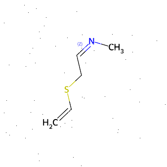 C=CSC/C=N\C